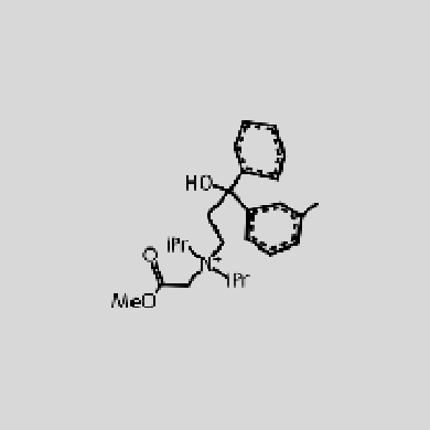 COC(=O)C[N+](CCC(O)(c1ccccc1)c1cccc(C)c1)(C(C)C)C(C)C